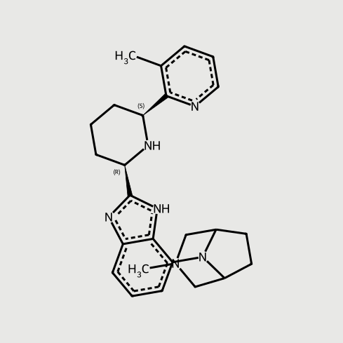 Cc1cccnc1[C@@H]1CCC[C@H](c2nc3cccc(N4C5CCC4CN(C)C5)c3[nH]2)N1